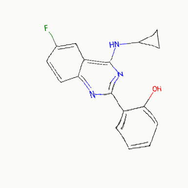 Oc1ccccc1-c1nc(NC2CC2)c2cc(F)ccc2n1